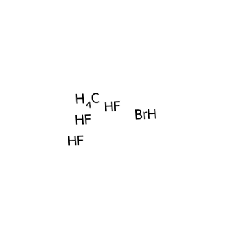 Br.C.F.F.F